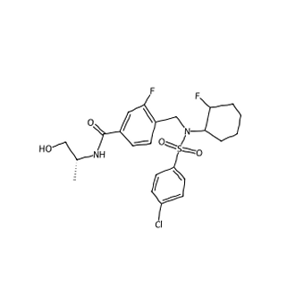 C[C@H](CO)NC(=O)c1ccc(CN(C2CCCCC2F)S(=O)(=O)c2ccc(Cl)cc2)c(F)c1